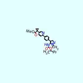 COC(=O)C1(c2ccc(-c3ccc(-c4cnn(C)c4NC(=O)OC(C)C(C)C)cc3)nc2)CC1